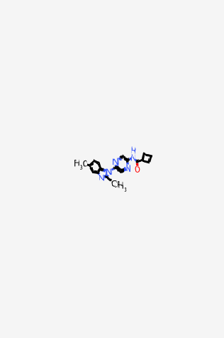 Cc1ccc2c(c1)nc(C)n2-c1cnc(NC(=O)C2CCC2)cn1